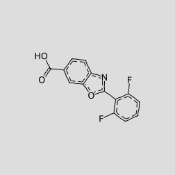 O=C(O)c1ccc2nc(-c3c(F)cccc3F)oc2c1